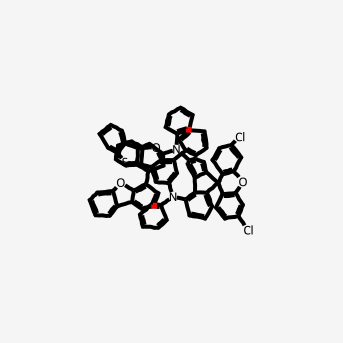 Clc1ccc2c(c1)Oc1cc(Cl)ccc1C21c2ccc(N(c3ccccc3)c3cc(-c4cccc5c4oc4ccccc45)c4sc5ccccc5c4c3)cc2-c2c(N(c3ccccc3)c3cc(-c4ccccc4)c4oc5ccccc5c4c3)cccc21